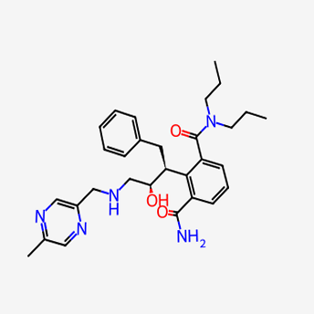 CCCN(CCC)C(=O)c1cccc(C(N)=O)c1[C@H](Cc1ccccc1)[C@@H](O)CNCc1cnc(C)cn1